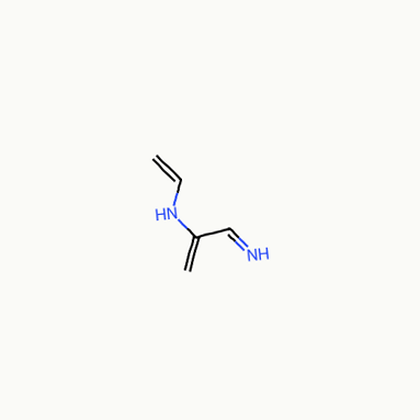 C=CNC(=C)C=N